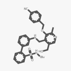 Cc1ncc(CO)c(CNc2cccc(-c3ccccc3S(=O)(=O)NC(C)(C)C)c2)c1OCc1ccc(C#N)cc1